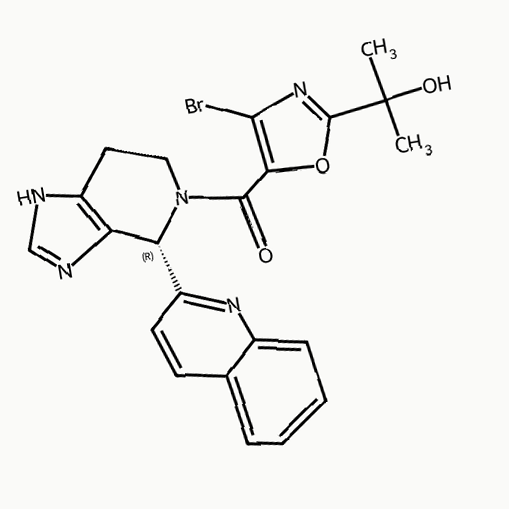 CC(C)(O)c1nc(Br)c(C(=O)N2CCc3[nH]cnc3[C@H]2c2ccc3ccccc3n2)o1